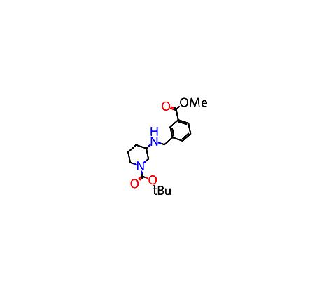 COC(=O)c1cccc(CNC2CCCN(C(=O)OC(C)(C)C)C2)c1